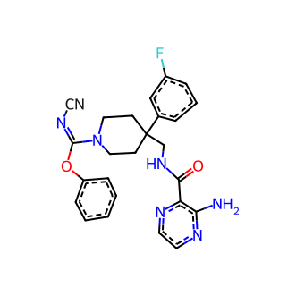 N#C/N=C(/Oc1ccccc1)N1CCC(CNC(=O)c2nccnc2N)(c2cccc(F)c2)CC1